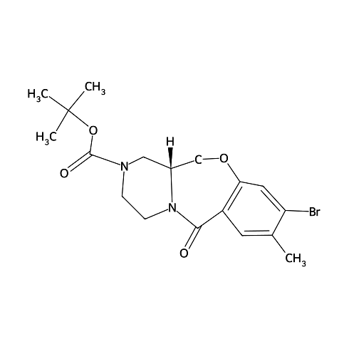 Cc1cc2c(cc1Br)OC[C@H]1CN(C(=O)OC(C)(C)C)CCN1C2=O